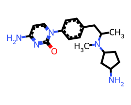 CC(Cc1ccc(-n2ccc(N)nc2=O)cc1)N(C)C1CCC(N)C1